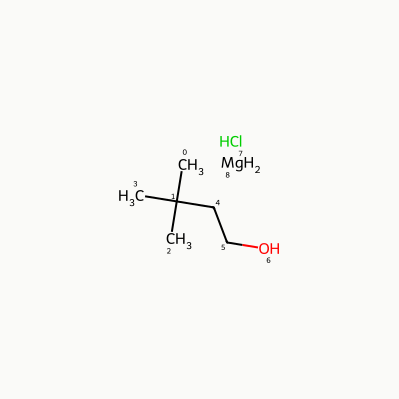 CC(C)(C)CCO.Cl.[MgH2]